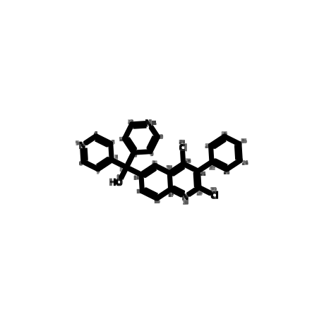 OC(c1ccncc1)(c1ccncc1)c1ccc2nc(Cl)c(-c3ccccc3)c(Cl)c2c1